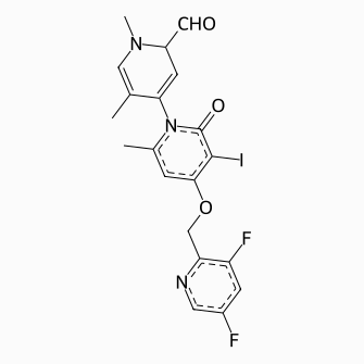 CC1=CN(C)C(C=O)C=C1n1c(C)cc(OCc2ncc(F)cc2F)c(I)c1=O